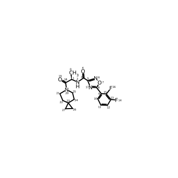 C[C@@H](NC(=O)c1noc(-c2cccc(F)c2F)n1)C(=O)N1CCC2(CC1)CC2